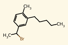 CCCCCc1cc(C(C)Br)ccc1C